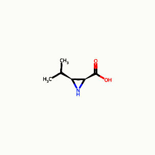 CC(C)[C@@H]1N[C@@H]1C(=O)O